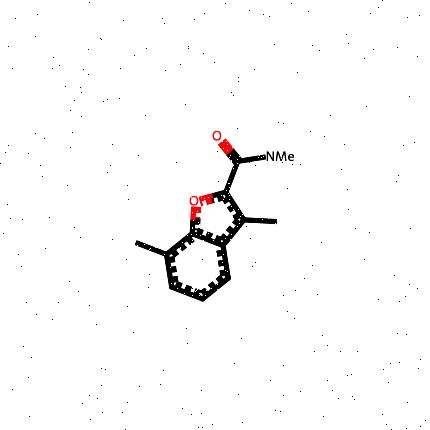 CNC(=O)c1oc2c(C)cccc2c1C